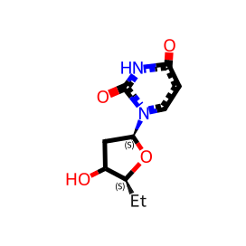 CC[C@@H]1O[C@H](n2ccc(=O)[nH]c2=O)CC1O